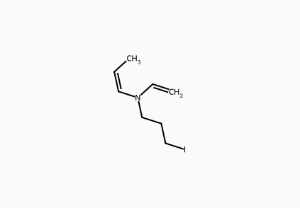 C=CN(/C=C\C)CCCI